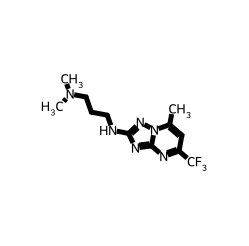 Cc1cc(C(F)(F)F)nc2nc(NCCCN(C)C)nn12